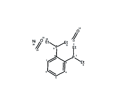 CCP(CC)c1ccccc1P(CC)CC.[C]=O.[C]=O.[Ni]